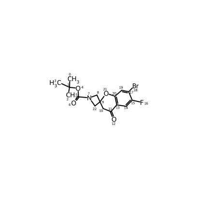 CC(C)(C)OC(=O)N1CC2(CC(=O)c3cc(F)c(Br)cc3O2)C1